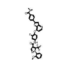 COc1ccccc1-n1ncc(C(=O)Nc2ccc(Oc3ccnc4cc(-c5ccc(C(=O)N(C)C)cc5)sc34)c(F)c2)c1C(F)(F)F